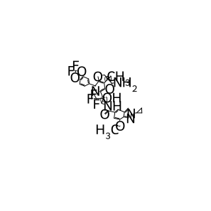 COc1cc(C(=O)NC[C@](O)(c2cc3c(c(-c4ccc5c(c4)OC(F)(F)O5)n2)OC[C@]3(C)C(N)=O)C(F)(F)F)cc2cn(C3CC3)nc12